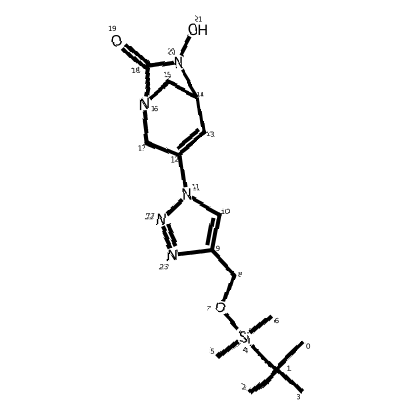 CC(C)(C)[Si](C)(C)OCc1cn(C2=CC3CN(C2)C(=O)N3O)nn1